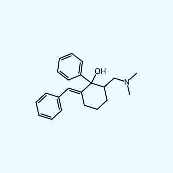 CN(C)CC1CCCC(=Cc2ccccc2)C1(O)c1ccccc1